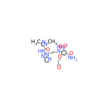 CCn1nc(C)cc1C(=O)Nc1nc2cccnc2n1CC=CCNc1c(OCCC2COC2)cc(C(N)=O)cc1[N+](=O)[O-]